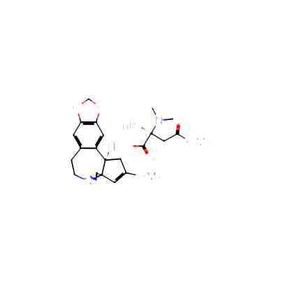 CCC[C@@](CC(=O)OC)(C(=O)O[C@@H]1C(OC)=C[C@]23CCCN2CCc2cc4c(cc2[C@H]13)OCO4)N(C)C